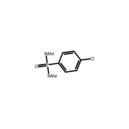 CNP(=O)(NC)c1ccc(Cl)cc1